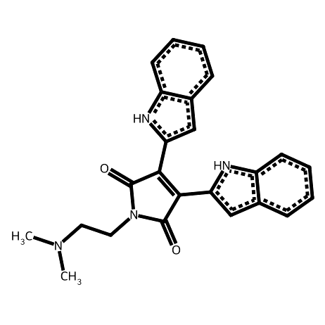 CN(C)CCN1C(=O)C(c2cc3ccccc3[nH]2)=C(c2cc3ccccc3[nH]2)C1=O